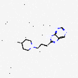 CCCCC1CCN(CCCc2nc3cncnc3[nH]2)CC1